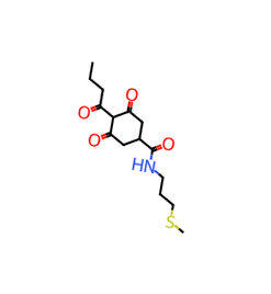 CCCC(=O)C1C(=O)CC(C(=O)NCCCSC)CC1=O